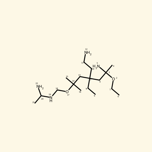 CCOC(C)(N)CC(CC)(CCN)CC(C)(C)OCNC(C)N